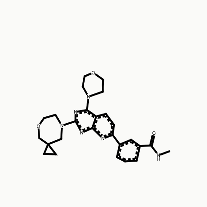 CNC(=O)c1cccc(-c2ccc3c(N4CCOCC4)nc(N4CCOCC5(CC5)C4)nc3n2)c1